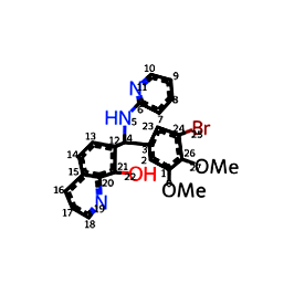 COc1cc(C(Nc2ccccn2)c2ccc3cccnc3c2O)cc(Br)c1OC